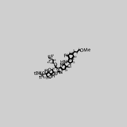 COCCCc1cc(F)c2c(c1)CC[C@@H]2Nc1nc2c(cc1Cl)nc(O[C@@H]1CO[C@@H]3C(O[Si](C)(C)C(C)(C)C)CO[C@@H]31)n2COCC[Si](C)(C)C